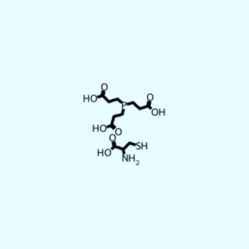 NC(CS)C(=O)O.O=C(O)CCP(CCC(=O)O)CCC(=O)O